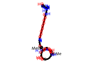 COC(=O)N[C@H]1C[C@@H]2CC[C@@H](C)[C@@](O)(O2)C(=O)C(=O)N2CCCC[C@H]2C(=O)O[C@H]([C@H](N)C[C@@H]2CC[C@@H](OCCCCc3cn(CCOCCOCCOCCOCCOCCOCCOCCOCCC(=O)NCCCCn4nc(-c5cc6cc(O)ccc6[nH]5)c5c(N)ncnc54)nn3)[C@H](OC)C2)CC(=O)[C@H](C)/C=C(\C)[C@@H](O)[C@@H](O)C(=O)[C@H](C)C[C@H](C)/C=C/C=C/C=C/1C